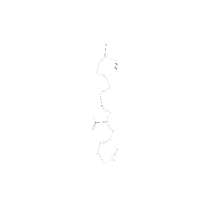 Cc1ccc(C=CC2=NC(=Cc3cccnc3)C(=O)O2)cc1